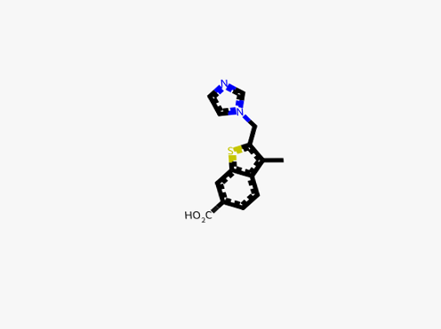 Cc1c(Cn2ccnc2)sc2cc(C(=O)O)ccc12